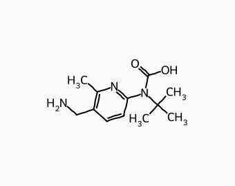 Cc1nc(N(C(=O)O)C(C)(C)C)ccc1CN